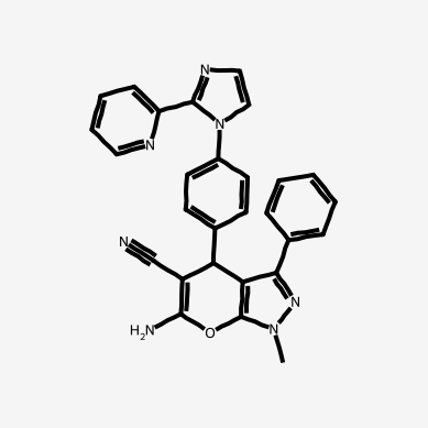 Cn1nc(-c2ccccc2)c2c1OC(N)=C(C#N)C2c1ccc(-n2ccnc2-c2ccccn2)cc1